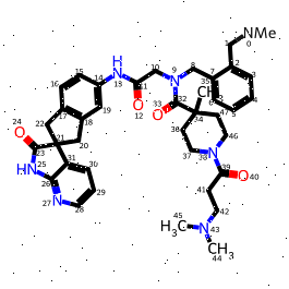 CNCc1ccccc1CN(CC(=O)Nc1ccc2c(c1)CC1(C2)C(=O)Nc2ncccc21)C(=O)C1(C)CCN(C(=O)CCN(C)C)CC1